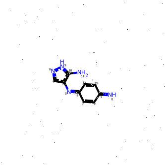 N=C1C=CC(=Nc2cn[nH]c2N)C=C1